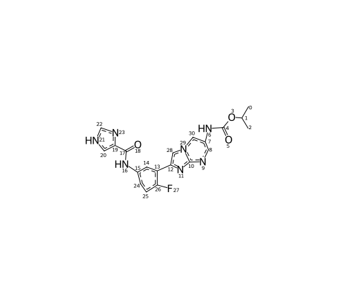 CC(C)OC(=O)Nc1cnc2nc(-c3cc(NC(=O)c4c[nH]cn4)ccc3F)cn2c1